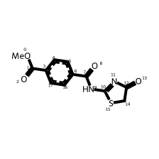 COC(=O)c1ccc(C(=O)NC2=NC(=O)CS2)cc1